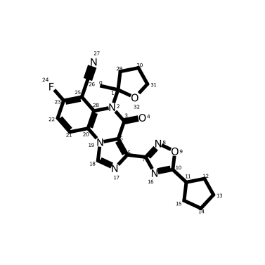 CC1(n2c(=O)c3c(-c4noc(C5CCCC5)n4)ncn3c3ccc(F)c(C#N)c32)CCCO1